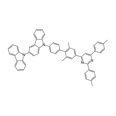 Cc1ccc(-c2cc(-c3cc(C)c(-c4ccc(-n5c6ccccc6c6cc(-n7c8ccccc8c8ccccc87)ccc65)cc4)c(C)c3)nc(-c3ccc(C)cc3)n2)cc1